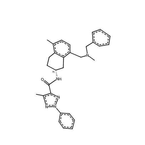 Cc1ccc(CN(C)Cc2ccccc2)c2c1CC[C@@H](NC(=O)c1nn(-c3ccccc3)nc1C)C2